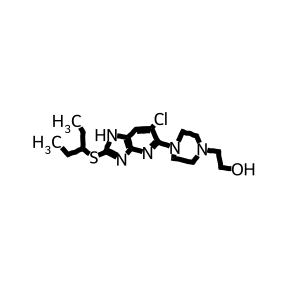 CCC(CC)Sc1nc2nc(N3CCN(CCO)CC3)c(Cl)cc2[nH]1